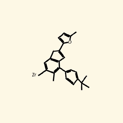 Cc1ccc(C2=Cc3c(cc(C)c(C)c3-c3ccc(C(C)(C)C)cc3)[CH]2)o1.[Zr]